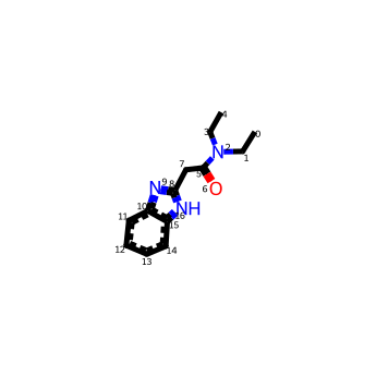 CCN(CC)C(=O)Cc1nc2ccccc2[nH]1